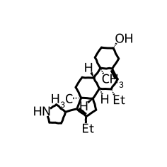 CCC1=C(C2CCNC2)[C@@]2(C)CC[C@H]3[C@@H]([C@@H](CC)C=C4C[C@@H](O)CC[C@@]43C)[C@@H]2C1